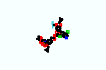 CC(C)(C)OC(=O)CN(c1cc(CC(=O)OCC(=O)O[C@@H](Cc2c(Cl)cncc2Cl)c2ccc(OC(F)F)c(OCC3CC3)c2)ccc1OCC1CC1)[SH](=O)=O